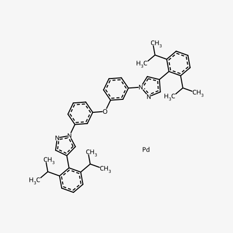 CC(C)c1cccc(C(C)C)c1-c1cnn(-c2cccc(Oc3cccc(-n4cc(-c5c(C(C)C)cccc5C(C)C)cn4)c3)c2)c1.[Pd]